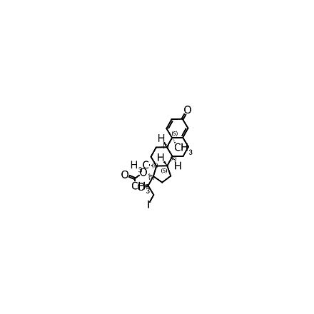 CC(=O)O[C@@]1(C(=O)CI)CC[C@H]2[C@@H]3CCC4=CC(=O)C=C[C@]4(C)[C@H]3CC[C@@]21C